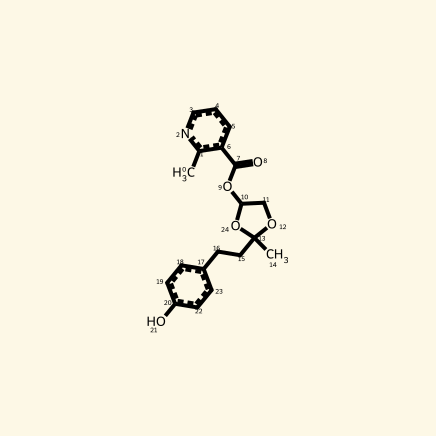 Cc1ncccc1C(=O)OC1COC(C)(CCc2ccc(O)cc2)O1